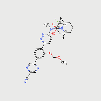 COCOc1cc(-c2cnc(C#N)cn2)ccc1-c1ccc(N(C)[C@@H]2C[C@H]3CCC[C@@H]([C@@H]2F)N3C(=O)O)nn1